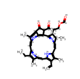 C=Cc1c(C)c2cc3nc(c4c5[nH]c(cc6nc(cc1[nH]2)C(C)=C6CC)c(C)c5C(=O)C4C(C)=O)[C@@H](CCOC=O)[C@@H]3C